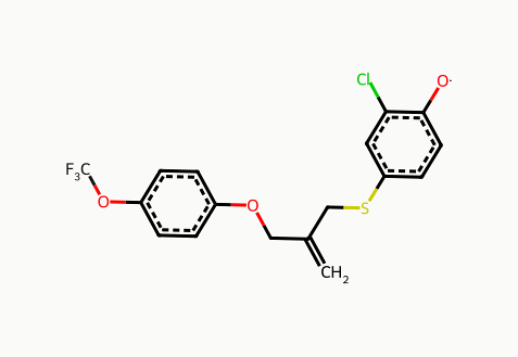 C=C(COc1ccc(OC(F)(F)F)cc1)CSc1ccc([O])c(Cl)c1